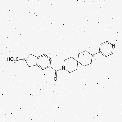 O=C(O)N1Cc2ccc(C(=O)N3CCC4(CC3)CCN(c3ccncc3)CC4)cc2C1